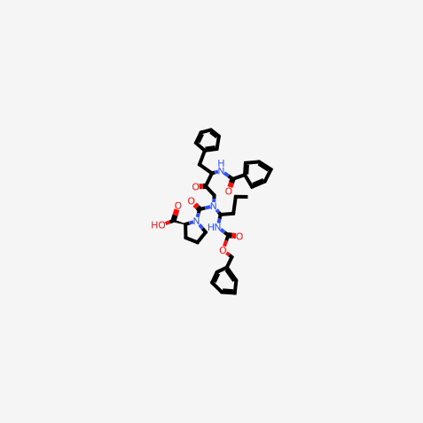 CCCC(NC(=O)OCc1ccccc1)N(CC(=O)C(Cc1ccccc1)NC(=O)c1ccccc1)C(=O)N1CCC[C@H]1C(=O)O